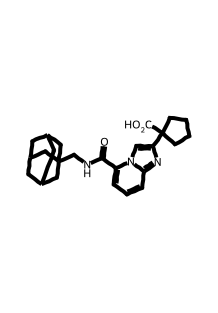 O=C(NCC12CC3CC(CC(C3)C1)C2)c1cccc2nc(C3(C(=O)O)CCCC3)cn12